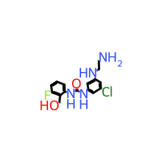 NCCNc1cc(Cl)cc(NC(=O)Nc2cccc(F)c2CO)c1